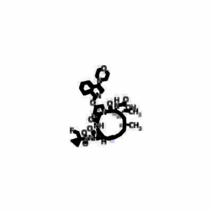 CC[C@@H]1C[C@@H](C)CC/C=C\[C@@H]2C[C@@]2(C(=O)NS(=O)(=O)C2(CF)CC2)NC(=O)[C@@H]2C[C@@H](Oc3ncc(N4CCOCC4)c4ccccc34)CN2C(=O)[C@H]1NC(=O)O